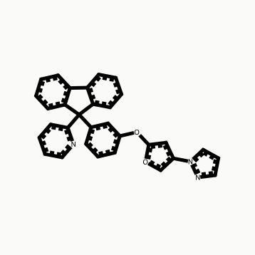 c1ccc(C2(c3cccc(Oc4cc(-n5cccn5)co4)c3)c3ccccc3-c3ccccc32)nc1